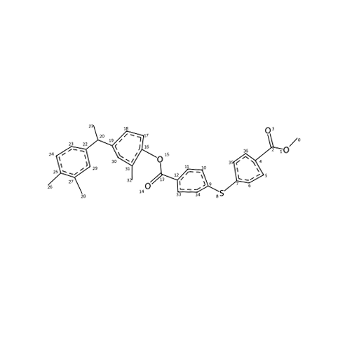 COC(=O)c1ccc(Sc2ccc(C(=O)Oc3ccc(C(C)c4ccc(C)c(C)c4)cc3C)cc2)cc1